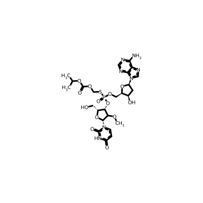 COC1[C@@H](OP(=O)(OC[C@H]2O[C@@H](n3cnc4c(N)ncnc43)C[C@H]2O)SCOC(=O)OC(C)C)[C@@H](CO)O[C@H]1n1ccc(=O)[nH]c1=O